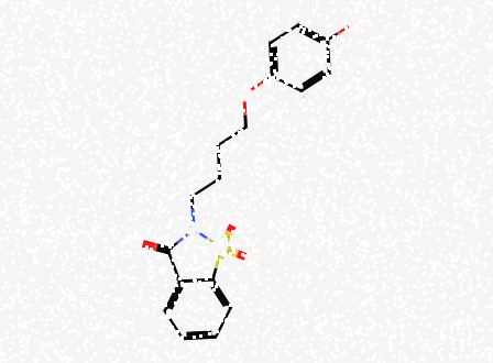 O=C1c2ccccc2S(=O)(=O)N1CCCCOc1ccc(O)cc1